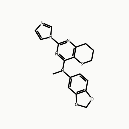 CN(c1ccc2c(c1)OCO2)c1nc(-n2ccnc2)nc2c1SCCC2